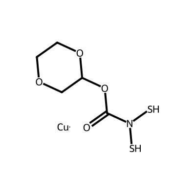 O=C(OC1COCCO1)N(S)S.[Cu]